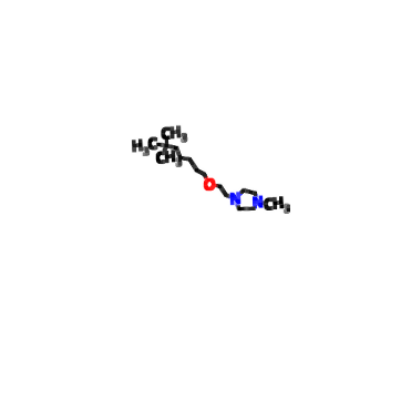 CN1CCN(CCOCCCCCC(C)(C)C)CC1